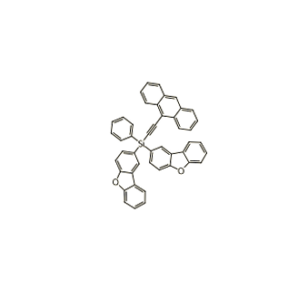 C(#C[Si](c1ccccc1)(c1ccc2oc3ccccc3c2c1)c1ccc2oc3ccccc3c2c1)c1c2ccccc2cc2ccccc12